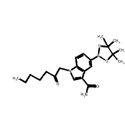 CCCCCC(=O)Cn1cc(C(N)=O)c2cc(B3OC(C)(C)C(C)(C)O3)ccc21